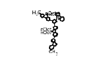 CCCCCCCCC1(CCCCCCCC)c2cc(C)ccc2-c2ccc(-c3cc(-c4ccc5c(c4)C(CCCCCCCC)(CCCCCCCC)c4cc(-c6ccc7c(ccc8cc(C)ccc87)c6)ccc4-5)cc(-n4c5ccccc5c5ccccc54)c3)cc21